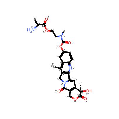 CCc1c2c(nc3ccc(OC(=O)N(C)CCOC(=O)C(C)N)cc13)-c1cc3c(c(=O)n1C2)COC(=O)[C@]3(O)CC